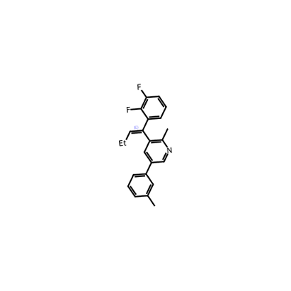 CC/C=C(\c1cc(-c2cccc(C)c2)cnc1C)c1cccc(F)c1F